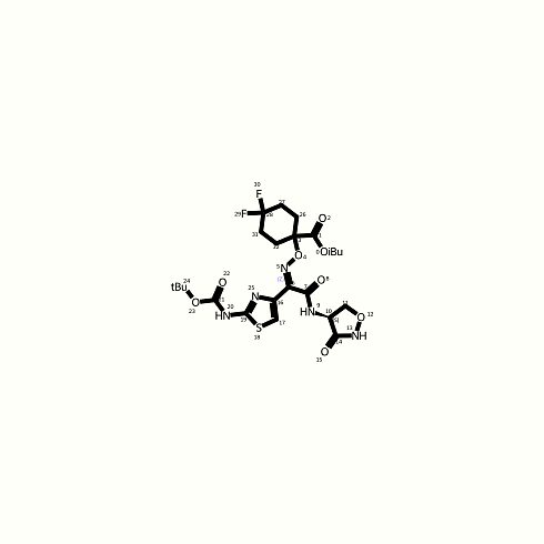 CC(C)COC(=O)C1(O/N=C(\C(=O)N[C@H]2CONC2=O)c2csc(NC(=O)OC(C)(C)C)n2)CCC(F)(F)CC1